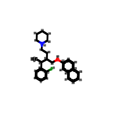 CC(c1ccccc1F)C(CCN1CCCCC1)COc1ccc2ccccc2c1